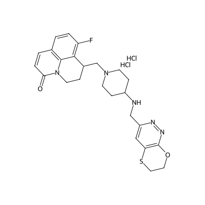 Cl.Cl.O=c1ccc2ccc(F)c3c2n1CCC3CN1CCC(NCc2cc3c(nn2)OCCS3)CC1